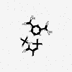 CC(=CC(C)(C)C)C(=O)OC(C)(C)C.O=C(O)c1cccc(C(=O)O)c1